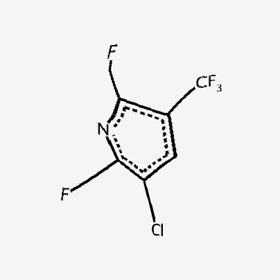 Fc1nc(F)c(C(F)(F)F)cc1Cl